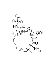 C[C@@H]1CCC=C[C@@H]2C[C@@]2(C(=O)NS(=O)(=O)C2(C)CC2)NC(=O)[C@@H]2C[C@@H](O)CN2C(=O)[C@@H](N)[C@H](C)C1